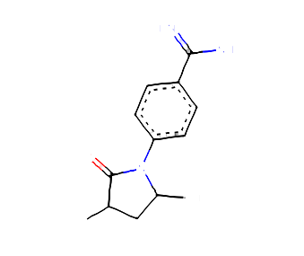 CC1CC(C)N(c2ccc(C(=N)N)cc2)C1=O